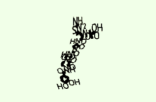 CC(C)(O/N=C(\C(=O)N[C@@H]1CN(C(=O)NS(=O)(=O)N2CCN(NC(=O)c3ccc(O)c(O)c3)C(=O)C2=O)C1=O)c1csc(N)n1)C(=O)O